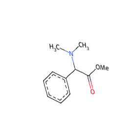 COC(=O)C(c1ccccc1)N(C)C